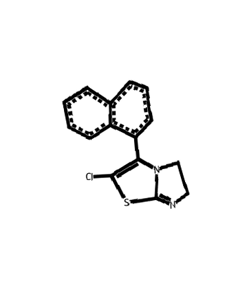 ClC1=C(c2cccc3ccccc23)N2CCN=C2S1